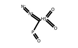 [N-]=[N+]=C(P=O)[SH](=O)=O